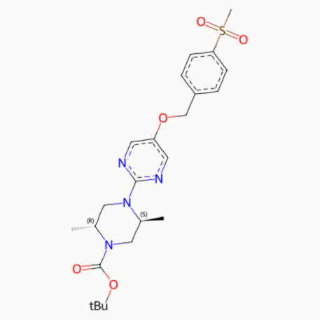 C[C@@H]1CN(c2ncc(OCc3ccc(S(C)(=O)=O)cc3)cn2)[C@@H](C)CN1C(=O)OC(C)(C)C